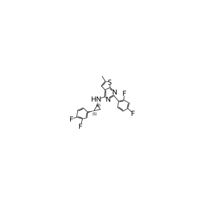 Cc1cc2c(N[C@@H]3C[C@H]3c3ccc(F)c(F)c3)nc(-c3ccc(F)cc3F)nc2s1